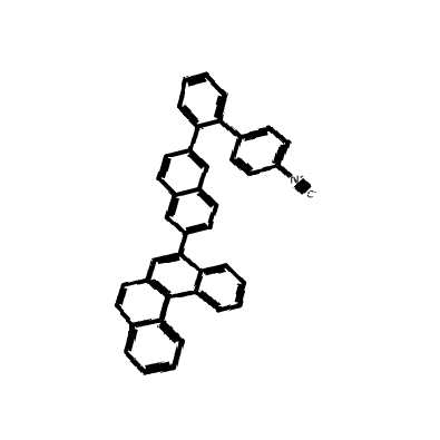 [C-]#[N+]c1ccc(-c2ccccc2-c2ccc3cc(-c4cc5ccc6ccccc6c5c5ccccc45)ccc3c2)cc1